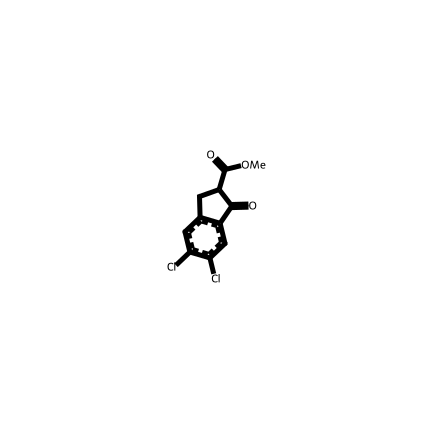 COC(=O)C1Cc2cc(Cl)c(Cl)cc2C1=O